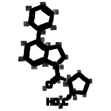 O=C([C@@H]1CCCN1C(=O)O)N1CCc2c(-c3ccccc3)cccc21